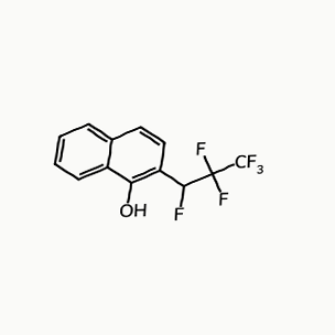 Oc1c(C(F)C(F)(F)C(F)(F)F)ccc2ccccc12